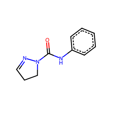 O=C(Nc1ccccc1)N1CCC=N1